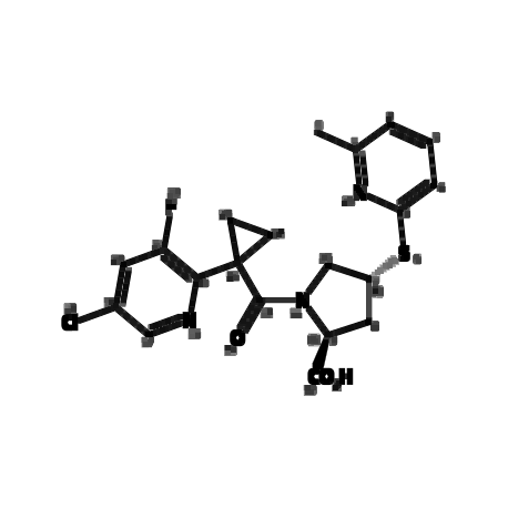 Cc1cccc(S[C@@H]2C[C@@H](C(=O)O)N(C(=O)C3(c4ncc(Cl)cc4F)CC3)C2)n1